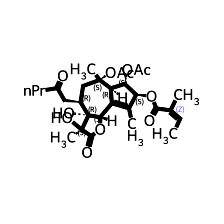 C/C=C(/C)C(=O)O[C@H]1C(C)=C2[C@H]([C@@H]1OC(C)=O)[C@@](C)(OC(C)=O)C[C@H](CC(=O)CCC)[C@@]1(O)[C@H]2OC(=O)[C@@]1(C)O